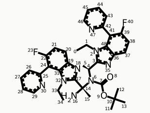 CCn1c([C@H](C)N(C(=O)OC(C)(C)C)[C@](C)(N)c2nc3ccc(F)c(-c4ccccn4)c3n2CC)nc2ccc(F)c(-c3ccccn3)c21